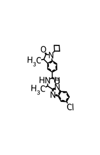 CC(NC(=O)c1ccc2c(c1)C(C)C(=O)N2C1CCC1)c1nc2cc(Cl)ccc2[nH]1